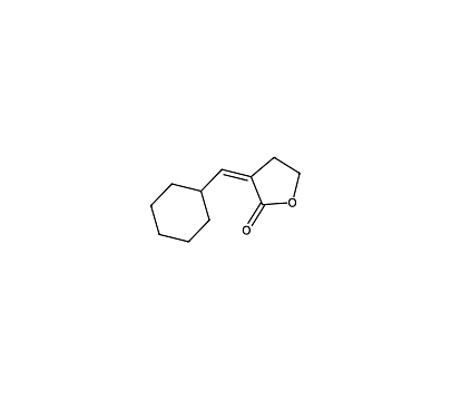 O=C1OCCC1=CC1CCCCC1